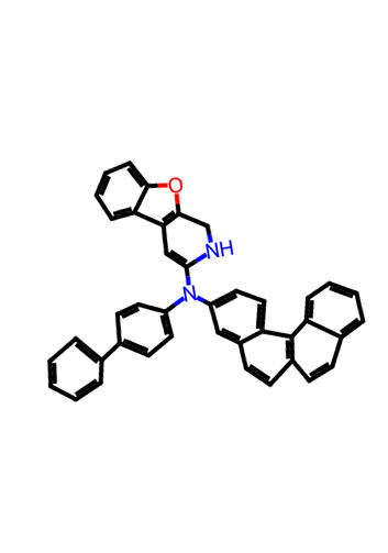 C1=C(N(c2ccc(-c3ccccc3)cc2)c2ccc3c(ccc4ccc5ccccc5c43)c2)NCc2oc3ccccc3c21